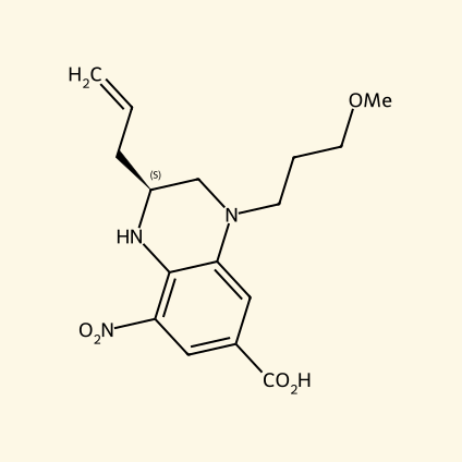 C=CC[C@H]1CN(CCCOC)c2cc(C(=O)O)cc([N+](=O)[O-])c2N1